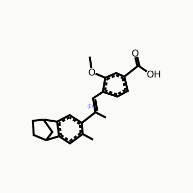 COc1cc(C(=O)O)ccc1/C=C(\C)c1cc2c(cc1C)C1CCC2C1